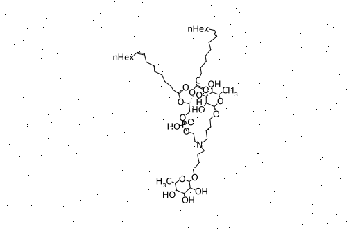 CCCCCC/C=C\CCCCCCCC(=O)OC[C@H](COP(=O)(O)OCCN(CCCCO[C@@H]1OC(C)[C@H](O)[C@H](O)C1O)CCCCO[C@@H]1OC(C)[C@H](O)[C@H](O)C1O)OC(=O)CCCCCCC/C=C\CCCCCC